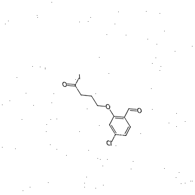 O=Cc1ccc(Cl)cc1OCCCC(=O)I